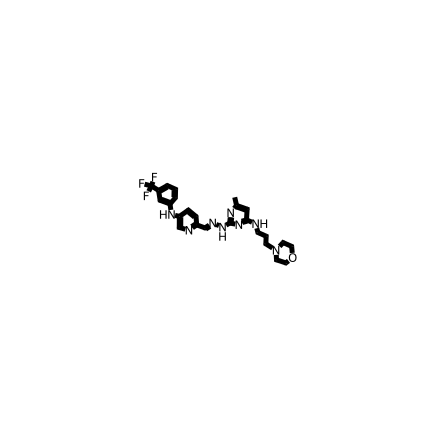 Cc1cc(NCCCN2CCOCC2)nc(N/N=C/c2ccc(Nc3cccc(C(F)(F)F)c3)cn2)n1